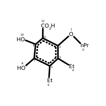 CCCOc1c(CC)c(CC)c(O)c(O)c1C(=O)O